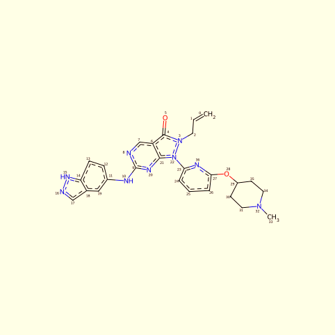 C=CCn1c(=O)c2cnc(Nc3ccc4[nH]ncc4c3)nc2n1-c1cccc(OC2CCN(C)CC2)n1